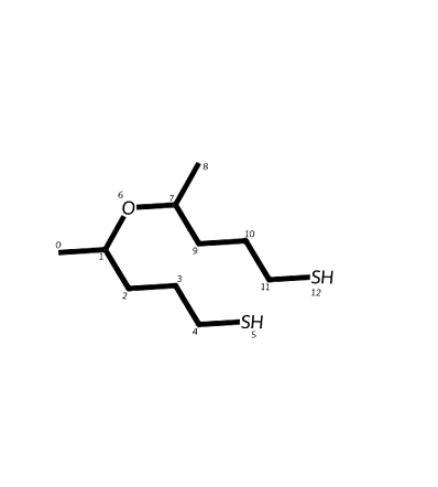 CC(CCCS)OC(C)CCCS